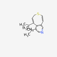 CC(C)/C1=C/CS/C=C\c2cncc(C(C)C)c21